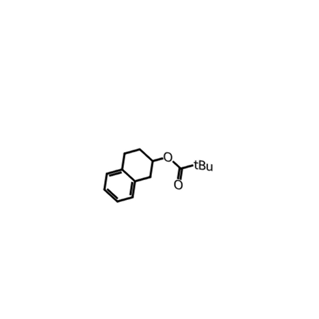 CC(C)(C)C(=O)OC1CCc2ccccc2C1